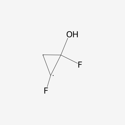 OC1(F)C[C]1F